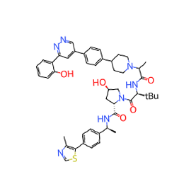 Cc1ncsc1-c1ccc([C@H](C)NC(=O)[C@@H]2C[C@@H](O)CN2C(=O)[C@@H](NC(=O)C(C)N2CCC(c3ccc(-c4cnnc(-c5ccccc5O)c4)cc3)CC2)C(C)(C)C)cc1